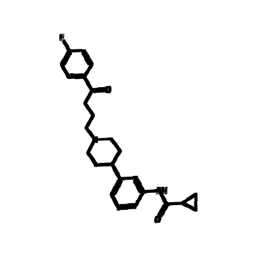 O=C(CCCN1CCC(c2cccc(NC(=O)C3CC3)c2)CC1)c1ccc(F)cc1